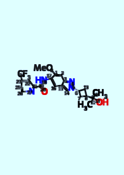 COc1cc2nn([C@H]3C[C@H](C(C)(C)O)C3)cc2cc1NC(=O)c1cc(C(F)(F)F)ccn1